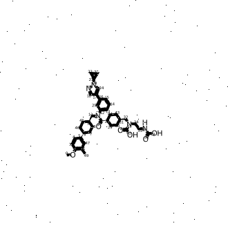 COc1ccc([C@H]2CC[C@H](CN(c3cccc(-c4cnn(C5CC5)c4)c3)C(=O)[C@H]3CC[C@H](CN(CCNC(=O)O)C(=O)O)CC3)CC2)cc1C